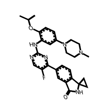 CC(C)Oc1ccc(N2CCN(C)CC2)cc1Nc1ncc(F)c(-c2ccc3c(c2)C(=O)NC32CC2)n1